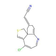 N#CC=C1CC=C2N=CC=C(Cl)C3=CSCC23C1